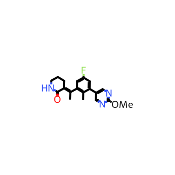 COc1ncc(-c2cc(F)cc(/C(C)=C3\CCCNC3=O)c2C)cn1